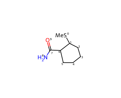 CSC1CCCCC1C(N)=O